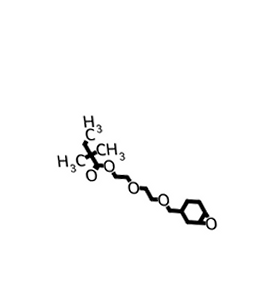 CCC(C)(C)C(=O)OCCOCCOCC1CCC2OC2C1